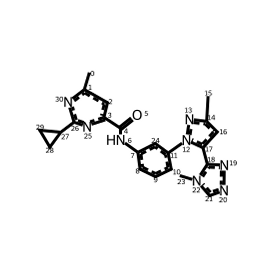 Cc1cc(C(=O)Nc2cccc(-n3nc(C)cc3-c3nncn3C)c2)nc(C2CC2)n1